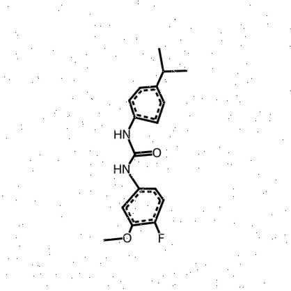 COc1cc(NC(=O)Nc2ccc(C(C)C)cc2)ccc1F